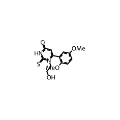 COc1ccc(OC)c(-c2cc(=O)[nH]c(=S)n2CCO)c1